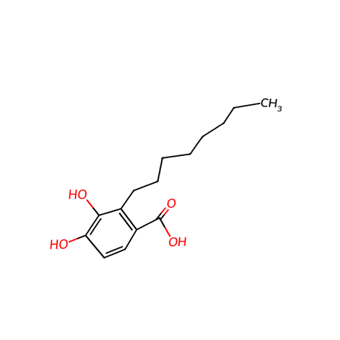 CCCCCCCCc1c(C(=O)O)ccc(O)c1O